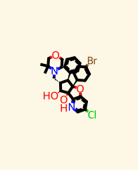 CC1(C)COCCN1C[C@H]1[C@@H](O)[C@@]2(O)c3ncc(Cl)cc3O[C@@]2(C2C=CC(Br)=CC2)[C@@H]1c1ccccc1